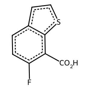 O=C(O)c1c(F)ccc2ccsc12